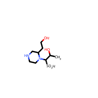 CC(O)C(N1CCNCC1CCO)S(=O)(=O)O